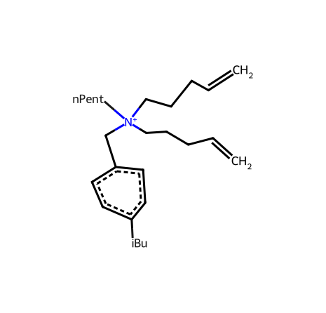 C=CCCC[N+](CCCC=C)(CCCCC)Cc1ccc(C(C)CC)cc1